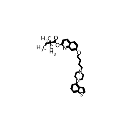 CCC(C)(C)C(=O)Oc1ccc2ccc(OCCCCN3CCN(c4cccc5sccc45)CC3)cc2n1